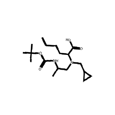 CCCCC(C(=O)O)N(CC1CC1)CC(C)NC(=O)OC(C)(C)C